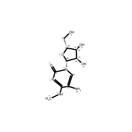 CNc1nc(=O)n([C@@H]2O[C@H](CO)[C@@H](O)[C@H]2O)cc1N